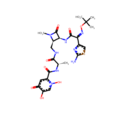 C[C@H](NC(=O)c1cc(=O)c(O)cn1O)C(=O)NC[C@@H]1[C@H](NC(=O)/C(=N\OC(C)(C)C(=O)O)c2csc(N)n2)C(=O)N1S(=O)(=O)O